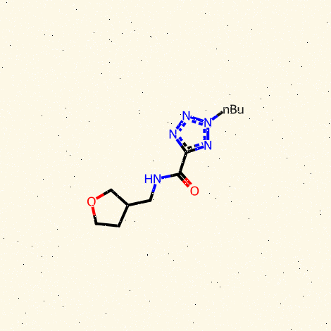 CCCCn1nnc(C(=O)NCC2CCOC2)n1